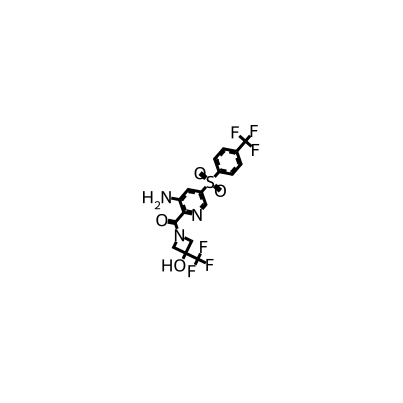 Nc1cc(S(=O)(=O)c2ccc(C(F)(F)F)cc2)cnc1C(=O)N1CC(O)(C(F)(F)F)C1